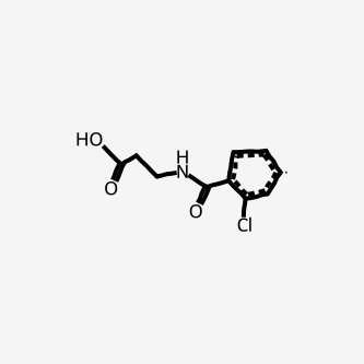 O=C(O)CCNC(=O)c1cc[c]cc1Cl